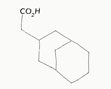 O=C(O)CC1CC2CCCC(C2)C1